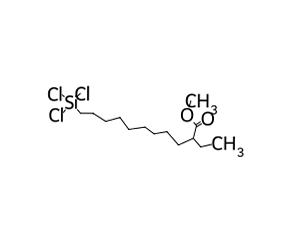 CCC(CCCCCCCCC[Si](Cl)(Cl)Cl)C(=O)OC